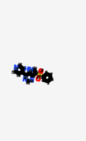 O=S(=O)(c1ccccc1)c1c[nH]c2c(-c3ccncc3)ncnc12